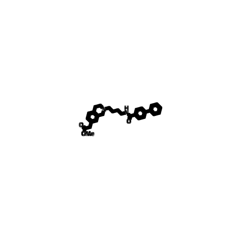 COC(=O)Cc1ccc2c(c1)CN(CCCCNC(=O)c1ccc(-c3ccccc3)cc1)CC2